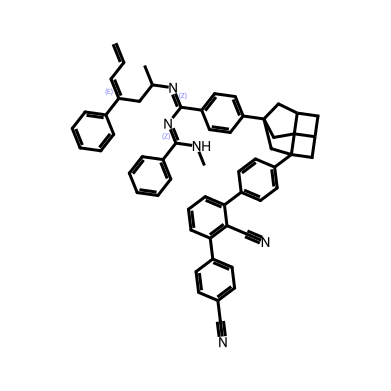 C=C/C=C(\CC(C)/N=C(\N=C(/NC)c1ccccc1)c1ccc(C23CC4CC5CC(c6ccc(-c7cccc(-c8ccc(C#N)cc8)c7C#N)cc6)(C2)C45C3)cc1)c1ccccc1